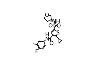 Cc1cc(NC(=O)c2cc(S(=O)(=O)N[C@H]3CCOC3)sc2C2CC2)ccc1F